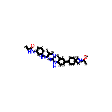 C=CC(=O)Nc1cccc(Nc2nc(Nc3ccc(C4CCC5(CC4)CN(C(C)=O)C5)cc3C)ncc2C)c1